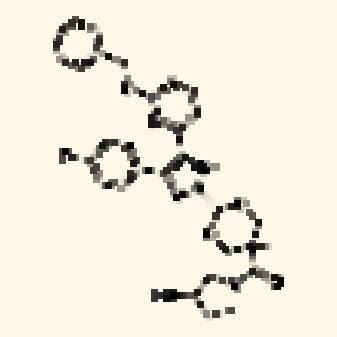 CC1(C(=O)N2CCC(O)C2)COC(c2nc(-c3ccc(F)cc3)c(-c3ccnc(OCc4ccccc4)n3)[nH]2)OC1